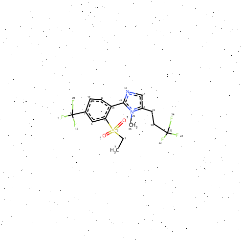 CCS(=O)(=O)c1cc(C(F)(F)F)ccc1-c1ncc(CCC(F)(F)F)n1C